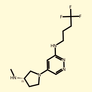 CN[C@H]1CCN(c2cnnc(NCCCC(F)(F)F)c2)C1